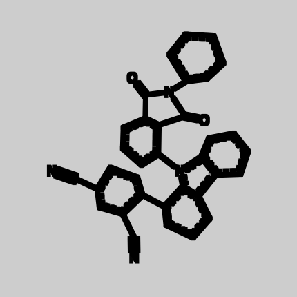 N#Cc1ccc(-c2cccc3c4ccccc4n(-c4cccc5c4C(=O)N(c4ccccc4)C5=O)c23)c(C#N)c1